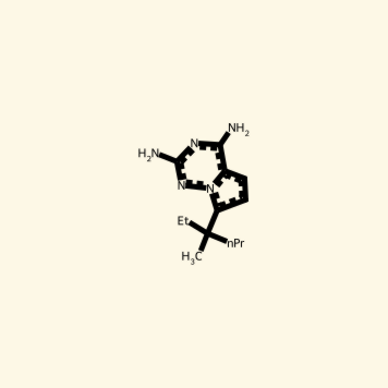 CCCC(C)(CC)c1ccc2c(N)nc(N)nn12